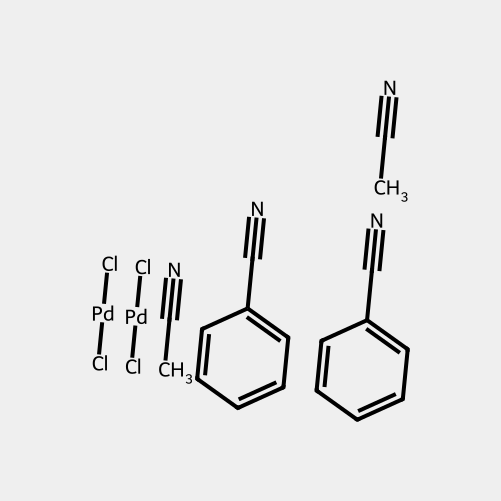 CC#N.CC#N.N#Cc1ccccc1.N#Cc1ccccc1.[Cl][Pd][Cl].[Cl][Pd][Cl]